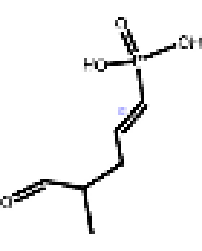 CC(C=O)C/C=C/P(=O)(O)O